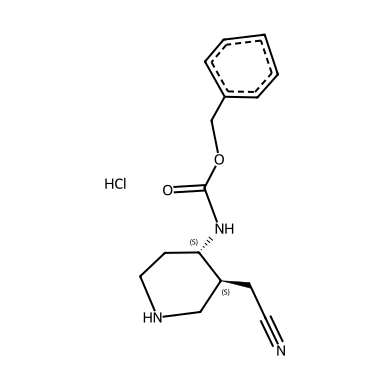 Cl.N#CC[C@H]1CNCC[C@@H]1NC(=O)OCc1ccccc1